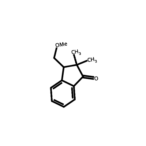 COCC1c2ccccc2C(=O)C1(C)C